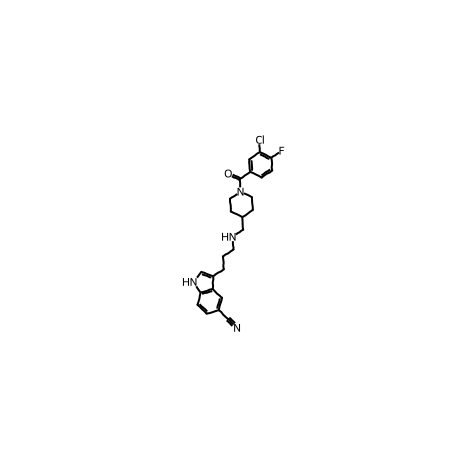 N#Cc1ccc2[nH]cc(CCCNCC3CCN(C(=O)c4ccc(F)c(Cl)c4)CC3)c2c1